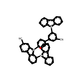 N#Cc1cc(-c2ccc(-n3c4cc(C#N)ccc4c4cccc(-n5c6ccccc6c6ccccc65)c43)cc2)cc(-n2c3ccccc3c3ccccc32)c1